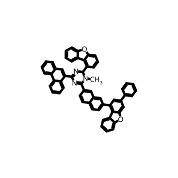 CN1C(c2ccc3ccc(-c4cc(-c5ccccc5)cc5oc6ccccc6c45)cc3c2)=NC(c2cc3ccccc3c3ccccc23)=NC1c1cccc2oc3ccccc3c12